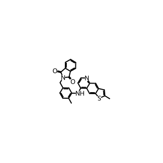 Cc1cc2cc3nccc(Nc4cc(CN5C(=O)c6ccccc6C5=O)ccc4C)c3cc2s1